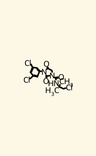 CC(C)(CCl)NC(=O)N1CC(=O)N(c2cc(Cl)cc(Cl)c2)C1=O